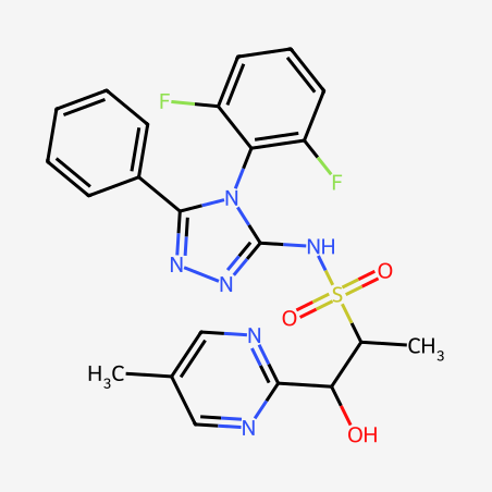 Cc1cnc(C(O)C(C)S(=O)(=O)Nc2nnc(-c3ccccc3)n2-c2c(F)cccc2F)nc1